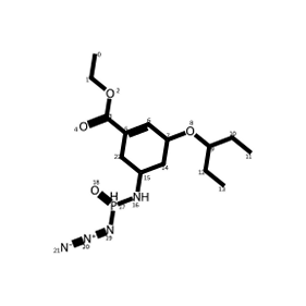 CCOC(=O)C1=CC(OC(CC)CC)CC(N[PH](=O)N=[N+]=[N-])C1